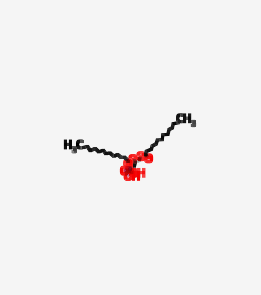 CCCCCCCCCCCCCC(=O)OC[C@H](COP(=O)(O)O)OC(=O)CCCCCCCCCCCCC